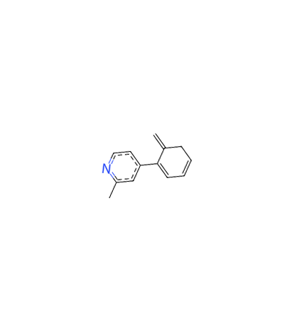 C=C1CC=CC=C1c1ccnc(C)c1